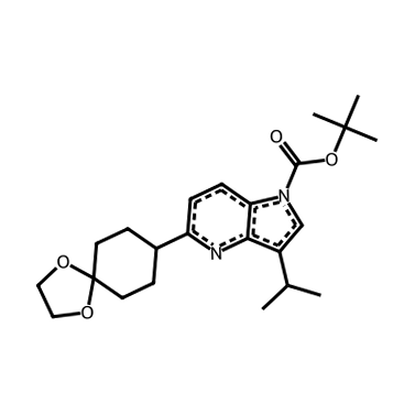 CC(C)c1cn(C(=O)OC(C)(C)C)c2ccc(C3CCC4(CC3)OCCO4)nc12